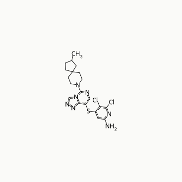 CC1CCC2(CCN(c3ncc(Sc4cc(N)nc(Cl)c4Cl)c4nncn34)CC2)C1